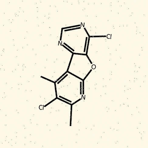 Cc1nc2oc3c(Cl)ncnc3c2c(C)c1Cl